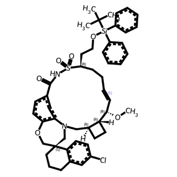 CO[C@H]1/C=C/CC[C@H](CCO[Si](c2ccccc2)(c2ccccc2)C(C)(C)C)S(=O)(=O)NC(=O)c2ccc3c(c2)N(C[C@@H]2CC[C@H]21)C[C@@]1(CCCc2cc(Cl)ccc21)CO3